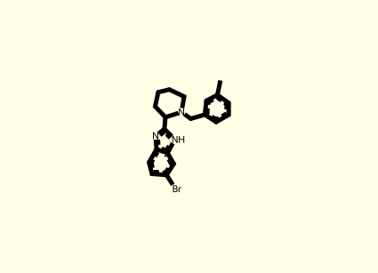 Cc1cccc(CN2CCCCC2c2nc3ccc(Br)cc3[nH]2)c1